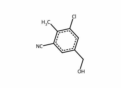 Cc1c(Cl)cc(CO)cc1C#N